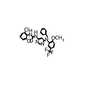 COc1ccc(C(F)(F)F)cc1N(Cc1ccccc1)c1cc(NC(=O)Nc2c(Cl)cccc2Cl)ncn1